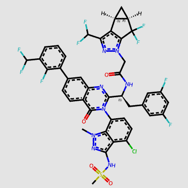 Cn1nc(NS(C)(=O)=O)c2c(Cl)ccc(-n3c([C@H](Cc4cc(F)cc(F)c4)NC(=O)Cn4nc(C(F)F)c5c4C(F)(F)[C@@H]4C[C@H]54)nc4cc(-c5cccc(C(F)F)c5F)ccc4c3=O)c21